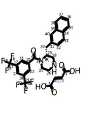 O=C(O)/C=C/C(=O)O.O=C(c1cc(C(F)(F)F)cc(C(F)(F)F)c1)N1CCNC[C@H]1Cc1ccc2ccccc2c1